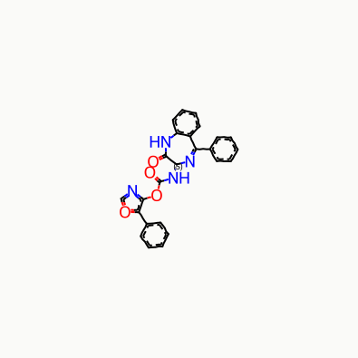 O=C(N[C@H]1N=C(c2ccccc2)c2ccccc2NC1=O)Oc1ncoc1-c1ccccc1